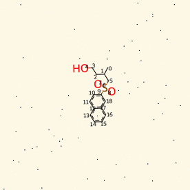 CC(CCO)CS(=O)(=O)c1ccc2ccccc2c1